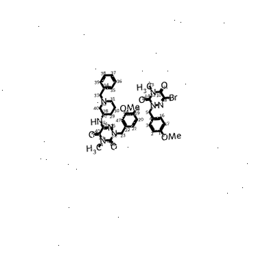 COc1ccc(Cn2nc(Br)c(=O)n(C)c2=O)cc1.COc1ccc(Cn2nc(N[C@@H]3CCCN(Cc4ccccc4)C3)c(=O)n(C)c2=O)cc1